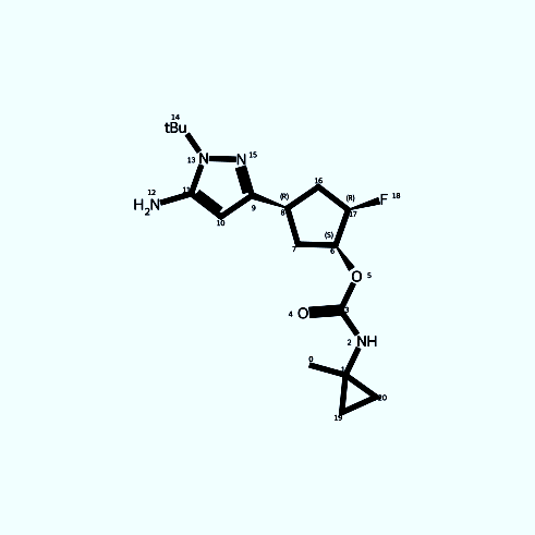 CC1(NC(=O)O[C@H]2C[C@@H](c3cc(N)n(C(C)(C)C)n3)C[C@H]2F)CC1